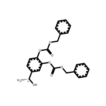 [CH2][C@@H](O)c1ccc(OC(=O)OCc2ccccc2)c(OC(=O)OCc2ccccc2)c1